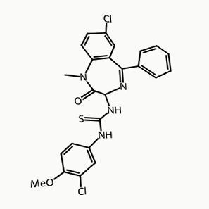 COc1ccc(NC(=S)NC2N=C(c3ccccc3)c3cc(Cl)ccc3N(C)C2=O)cc1Cl